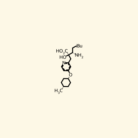 CCC(C)C[C@H](N)[C@](O)(Cc1cc(O[C@H]2CC[C@@H](C)CC2)ccn1)C(=O)O